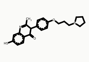 CC1=Nc2cc(S)ccc2C(=O)C1c1ccc(OCCCN2CCCC2)cc1